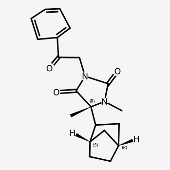 CN1C(=O)N(CC(=O)c2ccccc2)C(=O)[C@@]1(C)C1C[C@@H]2CC[C@H]1C2